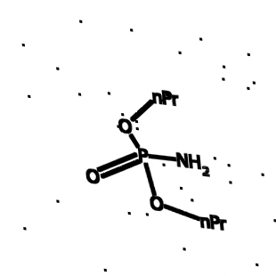 CCCOP(N)(=O)OCCC